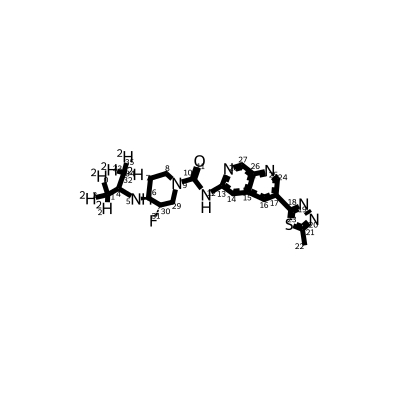 [2H]C([2H])([2H])C(N[C@H]1CCN(C(=O)Nc2cc3cc(-c4nnc(C)s4)cnc3cn2)C[C@@H]1F)C([2H])([2H])[2H]